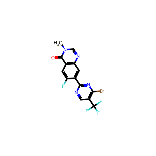 Cn1cnc2cc(-c3ncc(C(F)(F)F)c(Br)n3)c(F)cc2c1=O